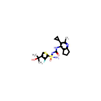 CC(C)(O)c1csc([S@@](N)(=O)=NC(=O)Nc2c3c(nc(C(F)(F)F)c2C2CC2)CCC3)c1F